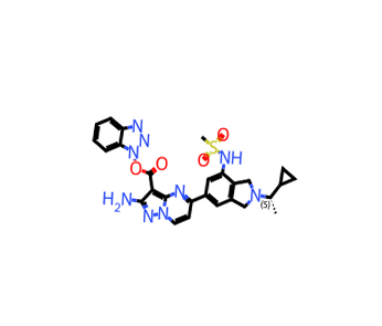 C[C@@H](C1CC1)N1Cc2cc(-c3ccn4nc(N)c(C(=O)On5nnc6ccccc65)c4n3)cc(NS(C)(=O)=O)c2C1